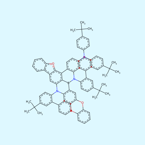 CC(C)(C)c1ccc(N(c2ccc(C(C)(C)C)cc2)c2ccc3c(c2)N(c2ccc(C(C)(C)C)cc2-c2ccccc2)B2c4cc5c(cc4N(c4ccc(C(C)(C)C)cc4-c4ccccc4)c4cc6c(oc7ccccc76)c-3c42)Oc2ccccc2O5)cc1